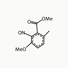 COC(=O)c1c(C)ccc(OC)c1N=O